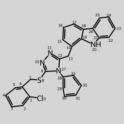 Clc1ccccc1CSc1nnc(Cc2cccc3c2[nH]c2ccccc23)n1-c1ccccc1